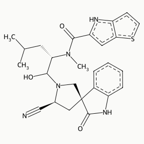 CC(C)C[C@@H](C(O)N1C[C@]2(C[C@H]1C#N)C(=O)Nc1ccccc12)N(C)C(=O)c1cc2sccc2[nH]1